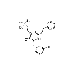 CCS(CC)(CC)CCOC(=O)[C@H](Cc1cccc(O)c1)NC(=O)OCc1ccccc1